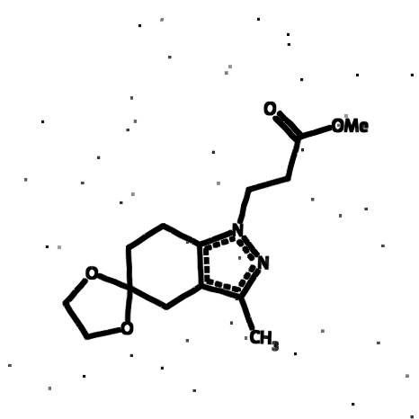 COC(=O)CCn1nc(C)c2c1CCC1(C2)OCCO1